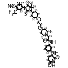 C[C@@H]1C[C@H](OCCO[C@H]2CC[C@H](N3C(=S)N(c4cnc(C#N)c(C(F)(F)F)c4)C(=O)C3(C)C)CC2)C[C@H](C)N1CC(=O)Nc1cccc(NC2CCC(=O)NC2=O)c1